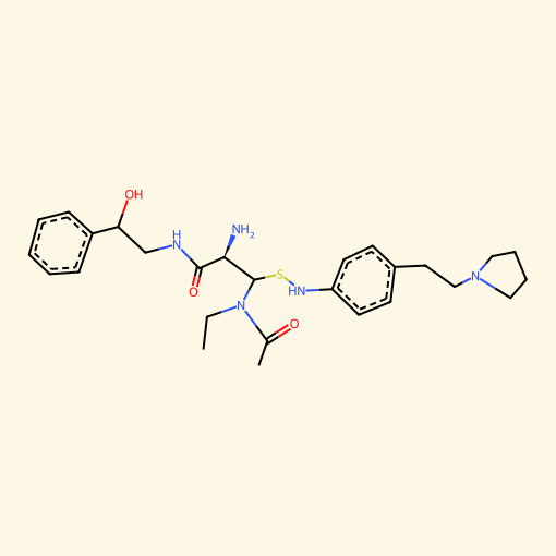 CCN(C(C)=O)C(SNc1ccc(CCN2CCCC2)cc1)[C@H](N)C(=O)NCC(O)c1ccccc1